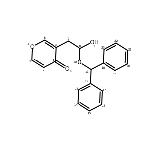 O=c1ccocc1CC(O)OC(c1ccccc1)c1ccccc1